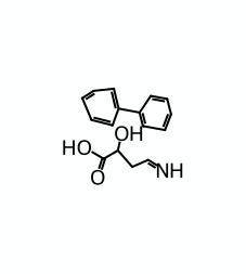 N=CCC(O)C(=O)O.c1ccc(-c2ccccc2)cc1